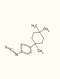 CC1(C)CCC(C)(c2ccc(N=C=S)cc2)CC1